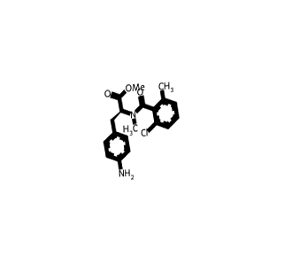 COC(=O)[C@H](Cc1ccc(N)cc1)N(C)C(=O)c1c(C)cccc1Cl